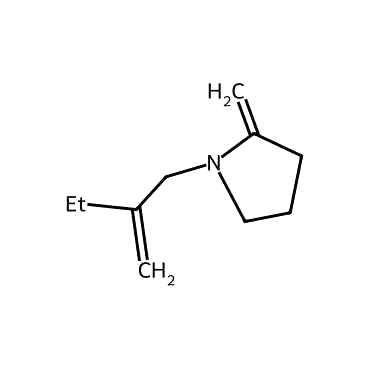 C=C(CC)CN1CCCC1=C